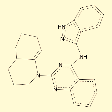 C1=C2C(CCC1)CCCN2c1nc(Nc2n[nH]c3ccccc23)c2ccccc2n1